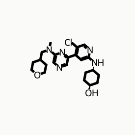 CN(CC1CCOCC1)c1cncc(-c2cc(N[C@H]3CC[C@H](O)CC3)ncc2Cl)n1